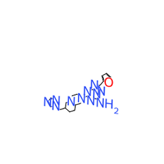 Nc1nc(N2CCN3CC(Cn4cncn4)CCC3C2)nc2nc(-c3ccco3)nn12